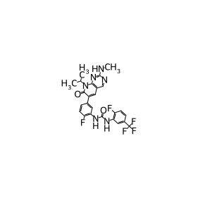 CNc1ncc2cc(-c3ccc(F)c(NC(=O)Nc4cc(C(F)(F)F)ccc4F)c3)c(=O)n(C(C)C)c2n1